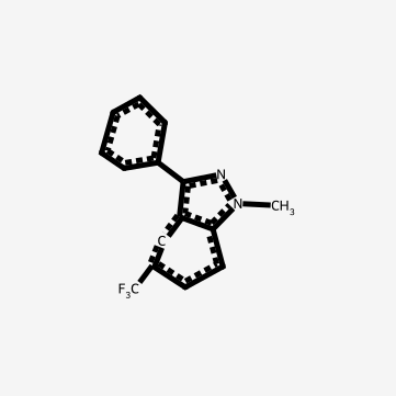 Cn1nc(-c2ccccc2)c2cc(C(F)(F)F)ccc21